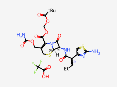 CC/C=C(\C(=O)N[C@@H]1C(=O)N2C(C(=O)OCOC(=O)C(C)(C)C)=C(COC(N)=O)CS[C@H]12)c1csc(N)n1.O=C(O)C(F)(F)F